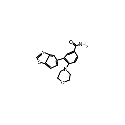 NC(=O)c1ccc(N2CCOCC2)c(-c2ccc3scnc3c2)c1